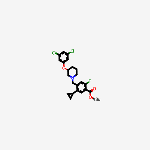 CC(C)(C)OC(=O)c1cc(C2CC2)c(CN2CCC[C@H](Oc3cc(Cl)cc(Cl)c3)C2)cc1F